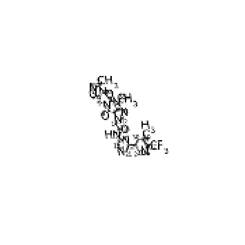 Cc1noc(Cn2c(=O)c3c(ncn3CC(=O)Nc3cncc(-c4cnc(C(F)(F)F)c(C)c4)n3)n(C)c2=O)n1